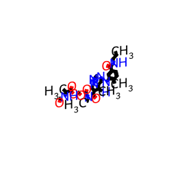 CCCNC(=O)c1ccc(C)c(NC2=NC=NN3CC(C(=O)N(CC)C(=O)OCOC(=O)C(C)NC=O)C(C)=C23)c1